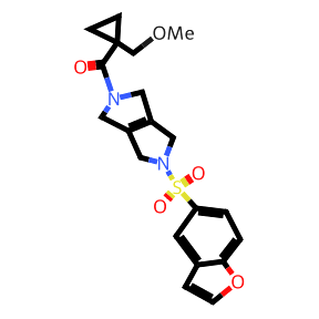 COCC1(C(=O)N2CC3=C(C2)CN(S(=O)(=O)c2ccc4occc4c2)C3)CC1